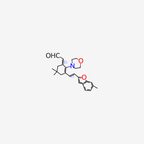 Cc1ccc2cc(/C=C/C3=C(N4CCOCC4)C(=C/C=O)/CC(C)(C)C3)oc2c1